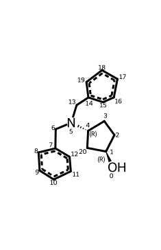 O[C@@H]1CC[C@@H](N(Cc2ccccc2)Cc2ccccc2)C1